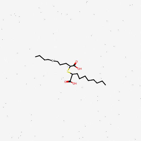 CCCCCCCCC(SC(CCCCCCCC)C(=O)O)C(=O)O